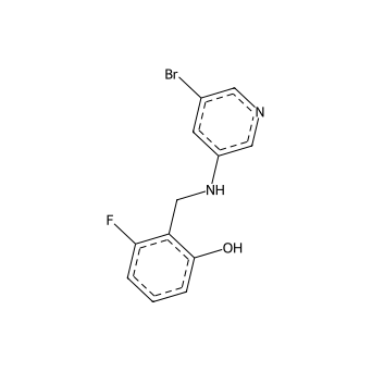 Oc1cccc(F)c1CNc1cncc(Br)c1